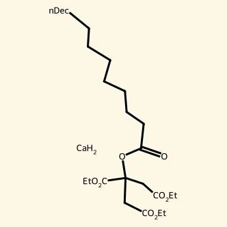 CCCCCCCCCCCCCCCCCC(=O)OC(CC(=O)OCC)(CC(=O)OCC)C(=O)OCC.[CaH2]